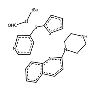 CC(C)(C)OC=O.c1ccc2nc(N3CCNCC3)ccc2c1.c1cncc(Sc2cccs2)c1